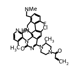 C=CC(=O)N1CCN(c2nc(=O)n(-c3c(C)ccnc3C(C)C)c3c4c(c(Cl)cc23)-c2c(F)ccc(CNC)c2CN4)[C@@H](C)C1